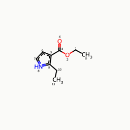 CCOC(=O)c1cc[nH]c1CC